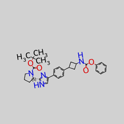 CC(C)(C)OC(=O)N1CCC[C@H]1c1nc(-c2ccc(C3CC(NC(=O)Oc4ccccc4)C3)cc2)c[nH]1